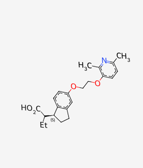 CCC(C(=O)O)[C@@H]1CCc2cc(OCCOc3ccc(C)nc3C)ccc21